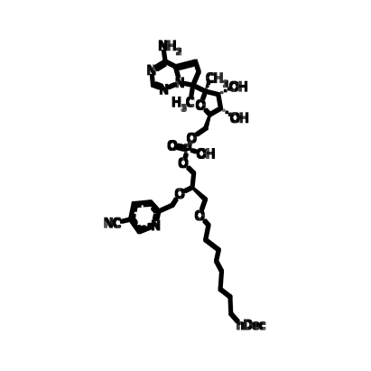 CCCCCCCCCCCCCCCCCCOC[C@H](COP(=O)(O)OC[C@H]1O[C@@](C)(C2(C)CC=C3C(N)=NC=NN32)[C@H](O)[C@@H]1O)OCc1ccc(C#N)cn1